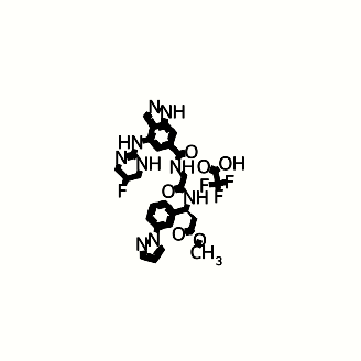 COC(=O)C[C@H](NC(=O)CNC(=O)c1cc(NC2=NCC(F)CN2)c2cn[nH]c2c1)c1cccc(-n2cccn2)c1.O=C(O)C(F)(F)F